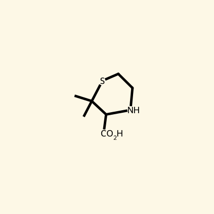 CC1(C)SCCNC1C(=O)O